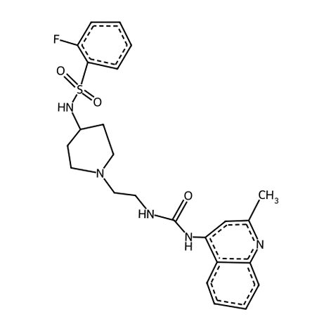 Cc1cc(NC(=O)NCCN2CCC(NS(=O)(=O)c3ccccc3F)CC2)c2ccccc2n1